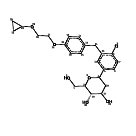 OCC1OC(c2ccc(Cl)c(Cc3ccc(OCCOC4CC4)cc3)c2)CC(O)[C@@H]1O